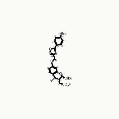 CC(C)COC(=O)N(CC(=O)O)[C@@H](C)c1ccc(OCc2noc(-c3ccc(C(C)(C)C)cc3)n2)cc1